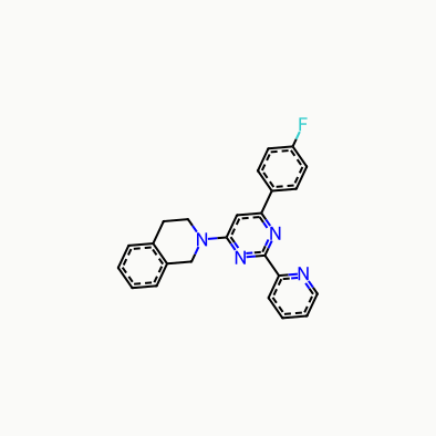 Fc1ccc(-c2cc(N3CCc4ccccc4C3)nc(-c3ccccn3)n2)cc1